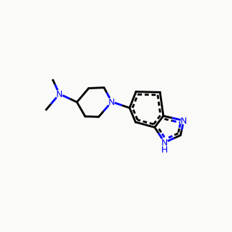 CN(C)C1CCN(c2ccc3nc[nH]c3c2)CC1